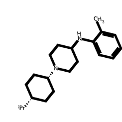 Cc1ccccc1NC1CCN([C@H]2CC[C@@H](C(C)C)CC2)CC1